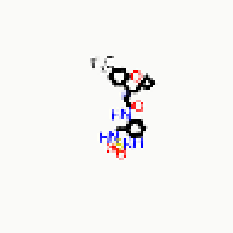 O=C(/C=C1\CC2(CCC2)Oc2cc(C(F)(F)F)ccc21)Nc1cccc2c1CNS(=O)(=O)N2